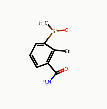 CCc1c(C(N)=O)cccc1[S+](C)[O-]